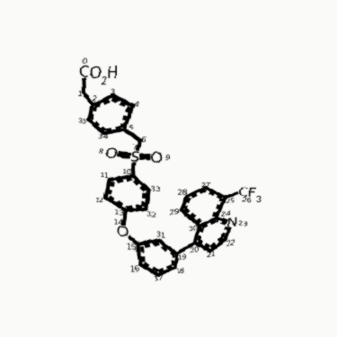 O=C(O)Cc1ccc(CS(=O)(=O)c2ccc(Oc3cccc(-c4ccnc5c(C(F)(F)F)cccc45)c3)cc2)cc1